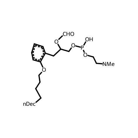 CCCCCCCCCCCCCCOc1ccccc1CC(COP(O)OCCNC)OC=O